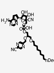 CCCCCCCCCCCCCCCCCCOCC(COP(=O)(O)OC[C@@]1(C#N)O[C@@H](c2ccc3c(N)ncnn23)[C@H](O)[C@@H]1O)OCc1cnc(C#N)cn1